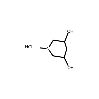 CN1CC(O)CC(O)C1.Cl